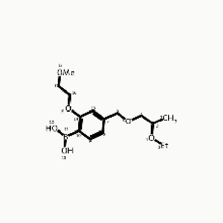 CCOC(C)COCc1ccc(B(O)O)c(OCCOC)c1